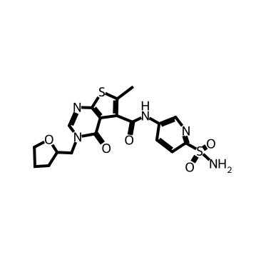 Cc1sc2ncn(CC3CCCO3)c(=O)c2c1C(=O)Nc1ccc(S(N)(=O)=O)nc1